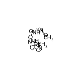 COCCN1CC[C@@H](CNC(=O)c2ccc3nc(-c4cccc(-c5cccnc5OC)c4O)[nH]c3c2)C1